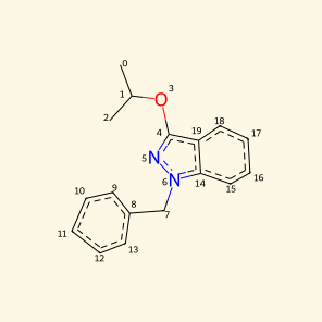 CC(C)Oc1nn(Cc2ccccc2)c2ccccc12